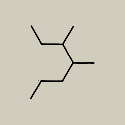 C[CH]CC(C)C(C)CC